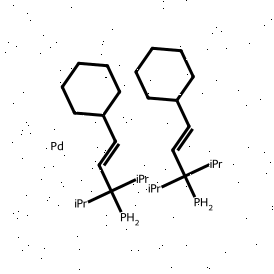 CC(C)C(P)(C=CC1CCCCC1)C(C)C.CC(C)C(P)(C=CC1CCCCC1)C(C)C.[Pd]